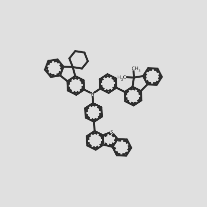 CC1(C)c2ccccc2-c2cccc(-c3cccc(N(c4ccc(-c5cccc6c5sc5ccccc56)cc4)c4ccc5c(c4)C4(CCCCC4)c4ccccc4-5)c3)c21